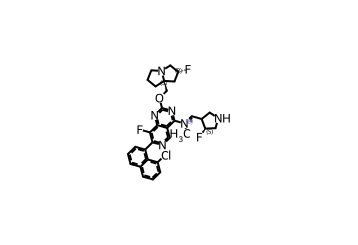 C/[N+](=C\C1CNC[C@H]1F)c1nc(OC[C@@]23CCCN2C[C@H](F)C3)nc2c(F)c(-c3cccc4cccc(Cl)c34)ncc12